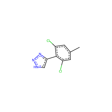 Cc1cc(Cl)c(-c2c[nH]nn2)c(Cl)c1